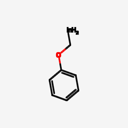 [InH2][CH2]Oc1ccccc1